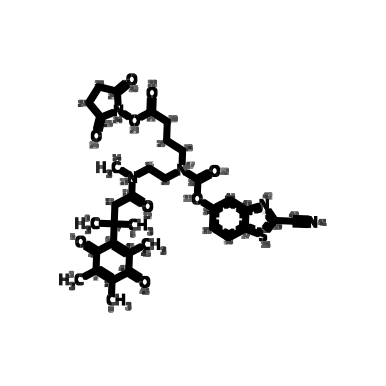 CC1=C(C)C(=O)C(C(C)(C)CC(=O)N(C)CCN(CCCC(=O)ON2C(=O)CCC2=O)C(=O)Oc2ccc3sc(C#N)nc3c2)=C(C)C1=O